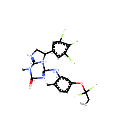 COCC(F)(F)Oc1ccc(C)c(NC2=NC(=O)N(C)C3=NCC(c4cc(F)c(F)c(F)c4)N23)c1